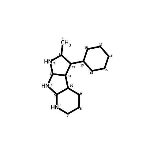 CC1NC2NC3NCCCC3C2C1C1CCCCC1